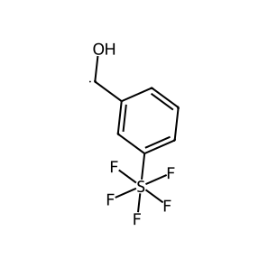 O[CH]c1cccc(S(F)(F)(F)(F)F)c1